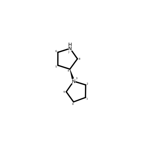 C1CCN([C@H]2CCNC2)C1